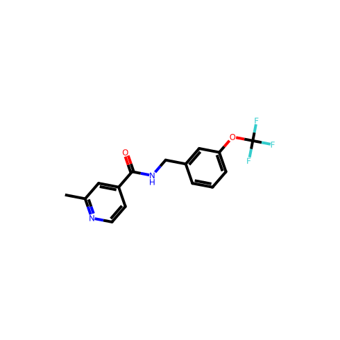 Cc1cc(C(=O)NCc2cccc(OC(F)(F)F)c2)ccn1